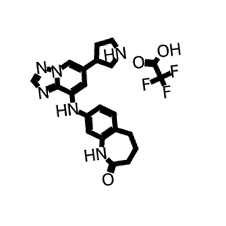 O=C(O)C(F)(F)F.O=C1CCCc2ccc(Nc3cc(C4CCNC4)cn4ncnc34)cc2N1